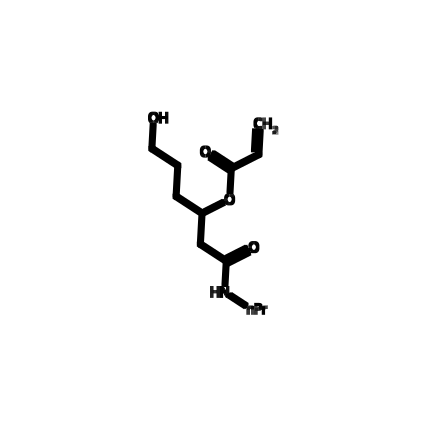 C=CC(=O)OC(CCCO)CC(=O)NCCC